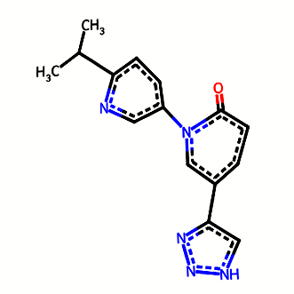 CC(C)c1ccc(-n2cc(-c3c[nH]nn3)ccc2=O)cn1